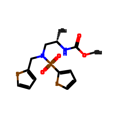 [CH2]CCC[C@@H](CN(Cc1cccs1)S(=O)(=O)c1cccs1)NC(=O)OC(C)(C)C